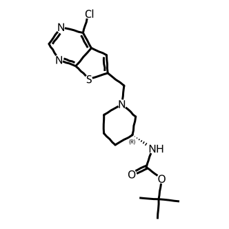 CC(C)(C)OC(=O)N[C@@H]1CCCN(Cc2cc3c(Cl)ncnc3s2)C1